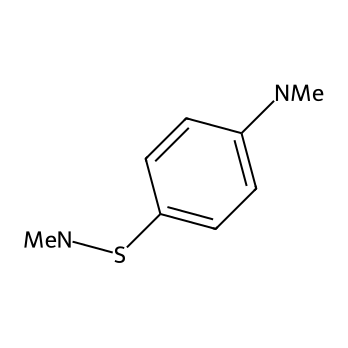 CNSc1ccc(NC)cc1